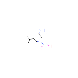 CC(C)CCN(CCN)/[N+]([O-])=N/O